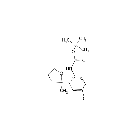 CC(C)(C)OC(=O)Nc1cnc(Cl)cc1C1(C)CCCO1